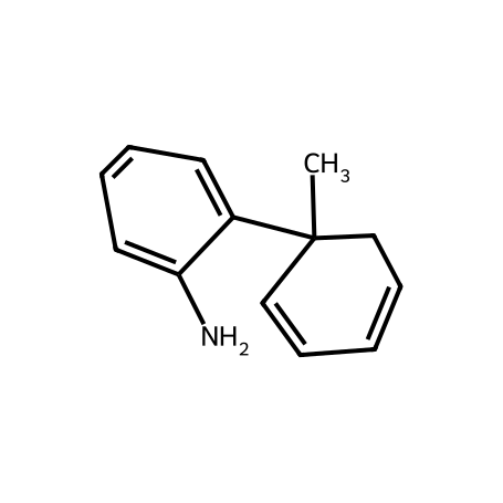 CC1(c2ccccc2N)C=CC=CC1